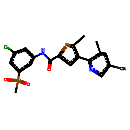 Cc1cc(C#N)cnc1-c1cc(C(=O)Nc2cc(Cl)cc(S(C)(=O)=O)c2)sc1C